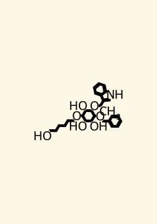 CC(OC1C(O)C(OCCCCCCO)C(O)C(O)C1OCc1ccccc1)c1c[nH]c2ccccc12